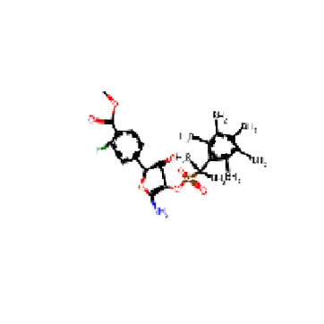 Bc1c(B)c(B)c(C(B)(B)S(=O)(=O)OC2=C(N)OC(c3ccc(C(=O)OC)c(F)c3)C2=O)c(B)c1B